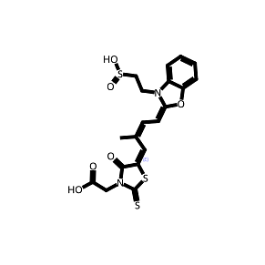 CC(=CC=C1Oc2ccccc2N1CCS(=O)O)/C=C1/SC(=S)N(CC(=O)O)C1=O